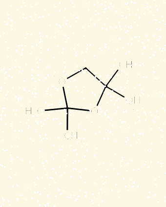 CC1(O)COC(C)(C)O1